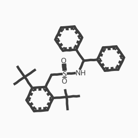 CC(C)(C)c1cccc(C(C)(C)C)c1CS(=O)(=O)NC(c1ccccc1)c1ccccc1